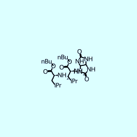 CCCCOC(=O)[C@@H](N)CC(C)C.CCCCOC(=O)[C@@H](N)CC(C)C.O=C1NC2NC(=O)NC2N1